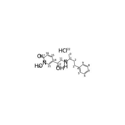 CC(CCc1ccccc1)NCC(O)c1ccc(=O)n(O)c1.Cl